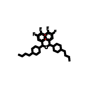 CCCCC1CCC(C(OC(c2ccc(F)c(F)c2)C2CCC(CCCC)CC2)c2ccc(F)c(F)c2)CC1